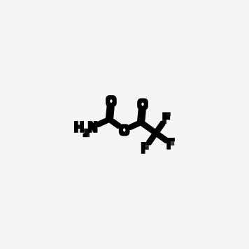 NC(=O)OC(=O)C(F)(F)F